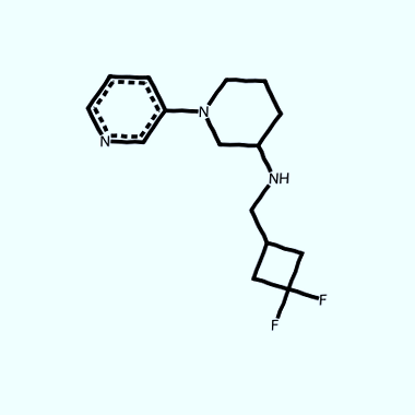 FC1(F)CC(CNC2CCCN(c3cccnc3)C2)C1